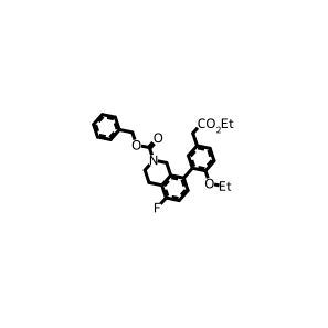 CCOC(=O)Cc1ccc(OCC)c(-c2ccc(F)c3c2CN(C(=O)OCc2ccccc2)CC3)c1